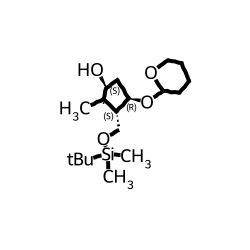 C[C]1[C@@H](CO[Si](C)(C)C(C)(C)C)[C@H](OC2CCCCO2)C[C@@H]1O